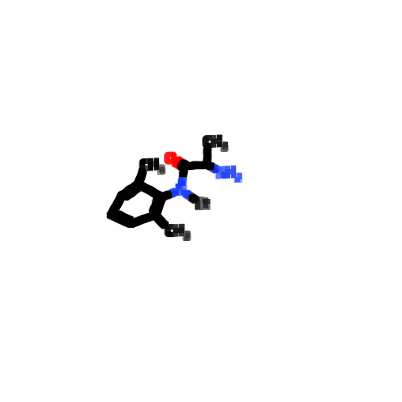 CCN(C(=O)C(C)N)c1c(C)cccc1C